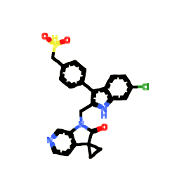 O=C1N(Cc2[nH]c3cc(Cl)ccc3c2-c2ccc(C[SH](=O)=O)cc2)c2cnccc2C12CC2